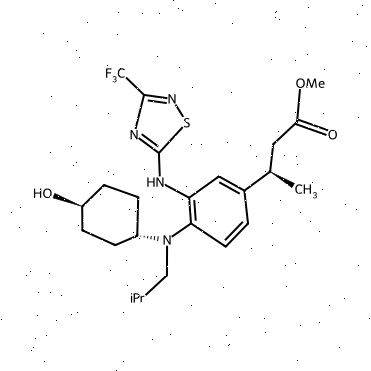 COC(=O)C[C@@H](C)c1ccc(N(CC(C)C)[C@H]2CC[C@H](O)CC2)c(Nc2nc(C(F)(F)F)ns2)c1